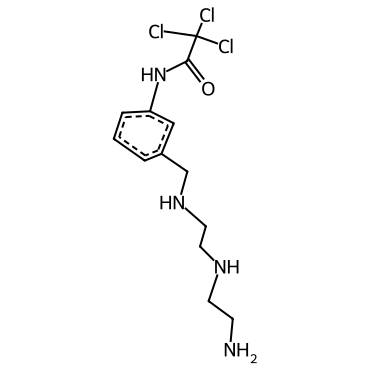 NCCNCCNCc1cccc(NC(=O)C(Cl)(Cl)Cl)c1